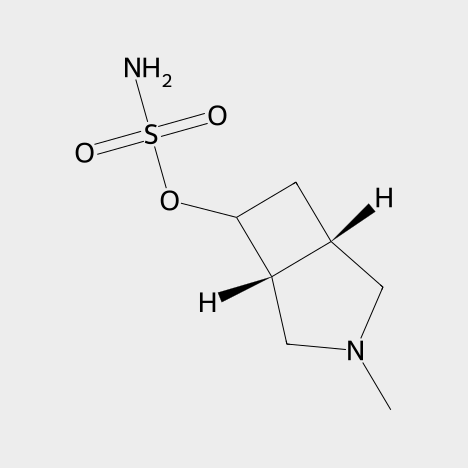 CN1C[C@H]2CC(OS(N)(=O)=O)[C@H]2C1